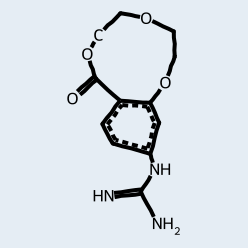 N=C(N)Nc1ccc2c(c1)OCCOCCOC2=O